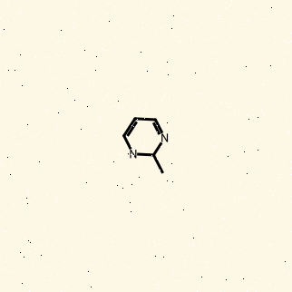 CC1[N]C=CC=N1